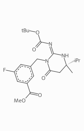 COC(=O)c1cc(F)cc(CN2C(=O)C[C@@](C)(C(C)C)N/C2=N/C(=O)OC(C)(C)C)c1